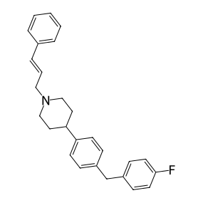 Fc1ccc(Cc2ccc(C3CCN(CC=Cc4ccccc4)CC3)cc2)cc1